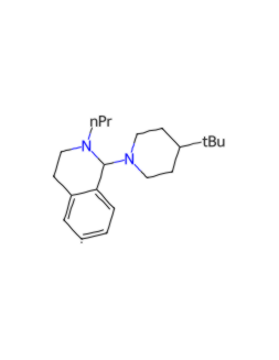 CCCN1CCc2c[c]ccc2C1N1CCC(C(C)(C)C)CC1